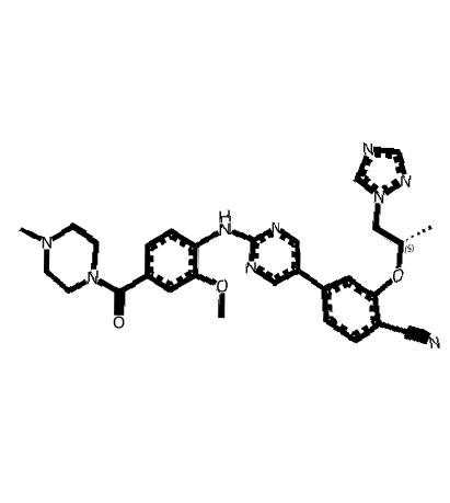 COc1cc(C(=O)N2CCN(C)CC2)ccc1Nc1ncc(-c2ccc(C#N)c(O[C@@H](C)Cn3cncn3)c2)cn1